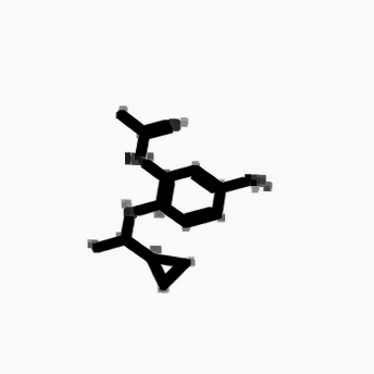 CC(=O)Nc1cc(N)ccc1OC(C)C1CC1